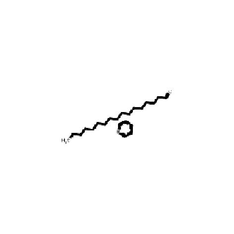 CCCCCCCCCCCCCCCCC=O.c1ccncc1